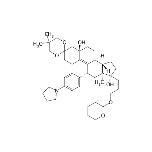 CC1(C)COC2(CCC3=C4[C@@H](CC[C@@]3(O)C2)[C@@H]2CC[C@@](O)(/C=C\COC3CCCCO3)[C@@]2(C)C[C@@H]4c2ccc(N3CCCC3)cc2)OC1